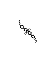 CCCCC1CCC(C2CCC3(CC2)C(=O)C2(CCC(C4CCC(CCCC)CC4)CC2)C3=O)CC1